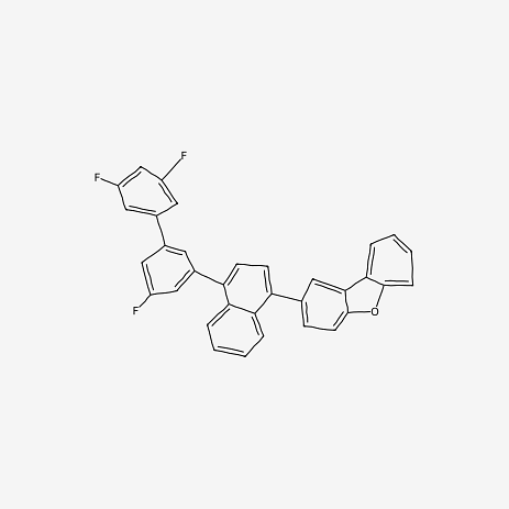 Fc1cc(F)cc(-c2cc(F)cc(-c3ccc(-c4ccc5oc6ccccc6c5c4)c4ccccc34)c2)c1